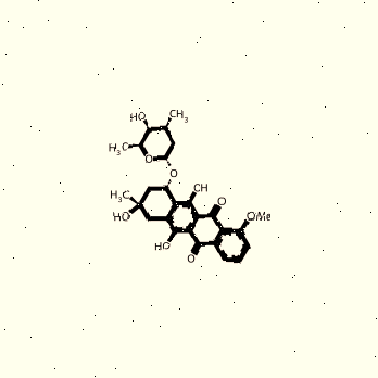 COc1cccc2c1C(=O)c1c(O)c3c(c(O)c1C2=O)C[C@](C)(O)C[C@@H]3O[C@H]1C[C@H](C)[C@H](O)[C@H](C)O1